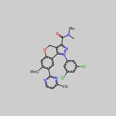 COc1cc2c(cc1-c1nccc(C#N)n1)-c1c(c(C(=O)N(C)C(C)(C)C)nn1-c1cc(Cl)cc(Cl)c1)CO2